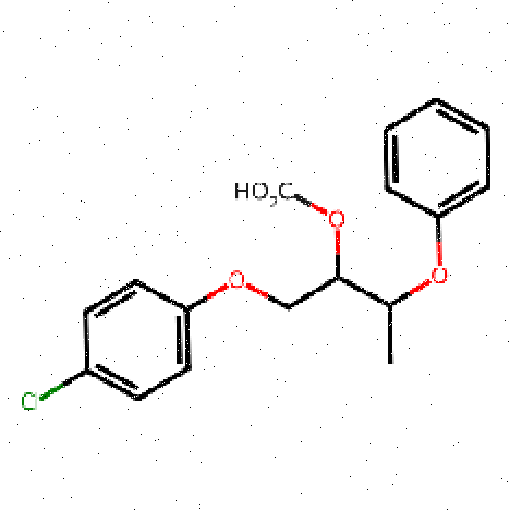 CC(Oc1ccccc1)C(COc1ccc(Cl)cc1)OC(=O)O